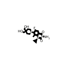 Cc1c(N2CCC(CO)(CO)CC2)c(F)cc2c(=O)n(N)c(=O)n(C3CC3)c12